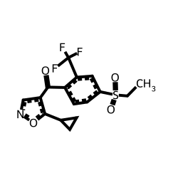 CCS(=O)(=O)c1ccc(C(=O)c2cnoc2C2CC2)c(C(F)(F)F)c1